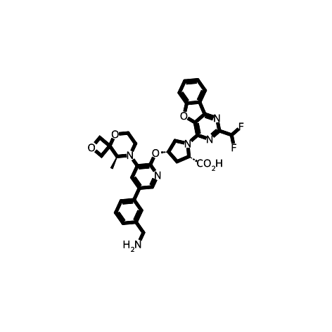 C[C@@H]1N(c2cc(-c3cccc(CN)c3)cnc2O[C@H]2C[C@@H](C(=O)O)N(c3nc(C(F)F)nc4c3oc3ccccc34)C2)CCOC12COC2